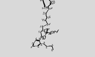 CCCCc1ccccc1C(CCCCCCCCc1ccccc1)OC(=O)O